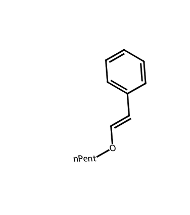 CCCCCOC=Cc1ccccc1